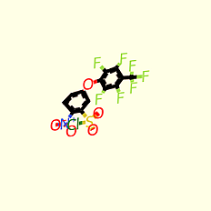 O=[N+]([O-])c1ccc(Oc2c(F)c(F)c(C(F)(F)F)c(F)c2F)cc1S(=O)(=O)Cl